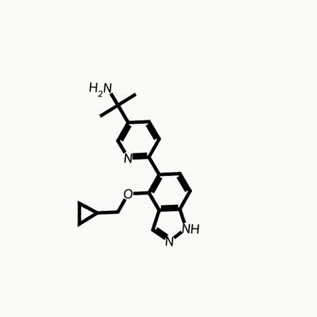 CC(C)(N)c1ccc(-c2ccc3[nH]ncc3c2OCC2CC2)nc1